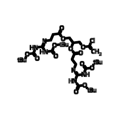 C=C(Cl)OCC(COC(=O)CCN=C(NC(=O)OC(C)(C)C)NC(=O)OC(C)(C)C)OC(=O)CCN=C(NC(=O)OC(C)(C)C)NC(=O)OC(C)(C)C